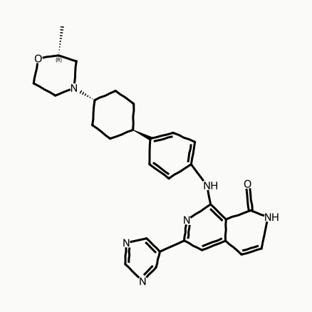 C[C@@H]1CN([C@H]2CC[C@H](c3ccc(Nc4nc(-c5cncnc5)cc5cc[nH]c(=O)c45)cc3)CC2)CCO1